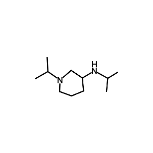 CC(C)NC1CCCN(C(C)C)C1